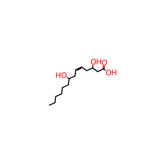 CCCCCCC(O)C/C=C\CC(O)CC(=O)O